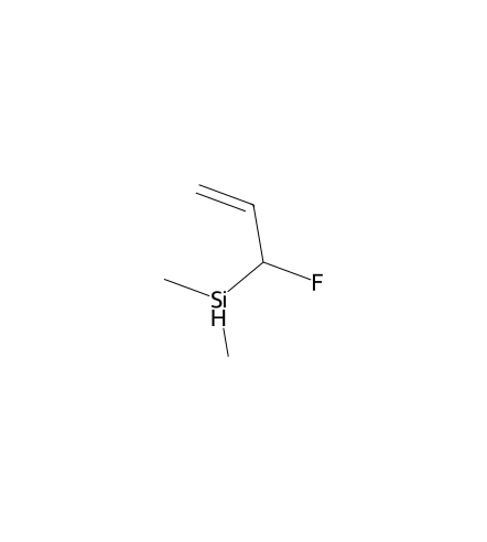 C=CC(F)[SiH](C)C